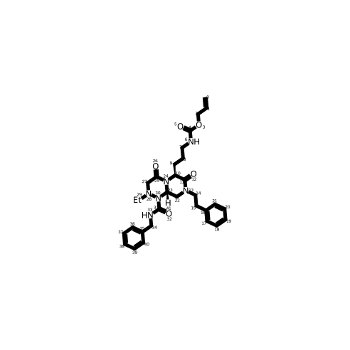 C=CCOC(=O)NCCC[C@H]1C(=O)N(CCc2ccccc2)C[C@H]2N1C(=O)CN(CC)N2C(=O)NCc1ccccc1